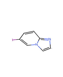 Ic1ccc2n[c]cn2c1